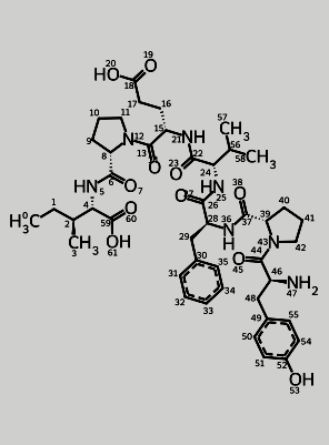 CC[C@H](C)[C@H](NC(=O)[C@@H]1CCCN1C(=O)[C@H](CCC(=O)O)NC(=O)[C@@H](NC(=O)[C@H](Cc1ccccc1)NC(=O)[C@@H]1CCCN1C(=O)[C@@H](N)Cc1ccc(O)cc1)C(C)C)C(=O)O